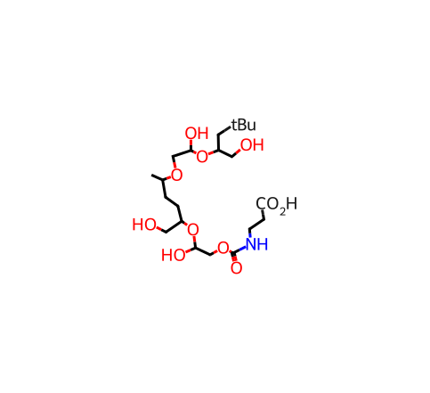 CC(CCC(CO)OC(O)COC(=O)NCCC(=O)O)OCC(O)OC(CO)CC(C)(C)C